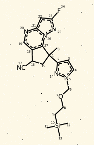 CC1(c2ccn(COCC[Si](C)(C)C)n2)CC(C#N)c2cnc3cc(F)nn3c21